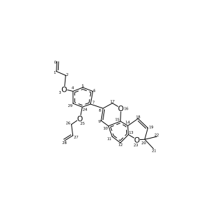 C=CCOc1ccc(C2=Cc3ccc4c(c3OC2)C=CC(C)(C)O4)c(OCC=C)c1